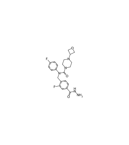 NNC(=O)c1ccc(CN(C(=O)N2CCN(C3COC3)CC2)c2ccc(F)cc2)c(F)c1